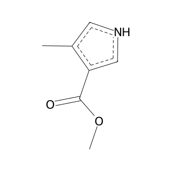 COC(=O)c1c[nH]cc1C